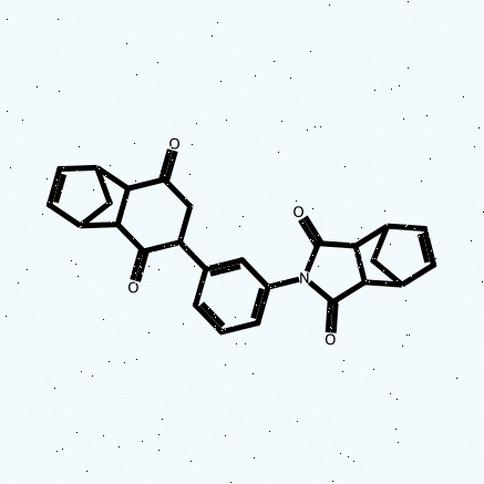 O=C1CC(c2cccc(N3C(=O)C4C5C=CC(C5)C4C3=O)c2)C(=O)C2C3C=CC(C3)C12